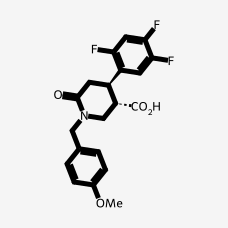 COc1ccc(CN2C[C@@H](C(=O)O)[C@H](c3cc(F)c(F)cc3F)CC2=O)cc1